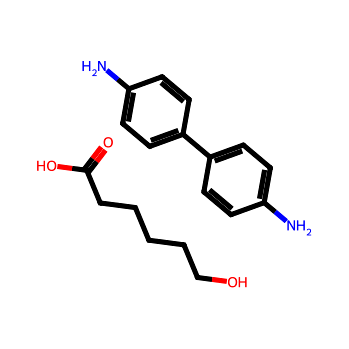 Nc1ccc(-c2ccc(N)cc2)cc1.O=C(O)CCCCCO